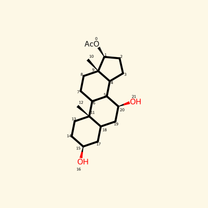 CC(=O)O[C@H]1CCC2C3C(CC[C@@]21C)[C@@]1(C)CC[C@H](O)CC1C[C@@H]3O